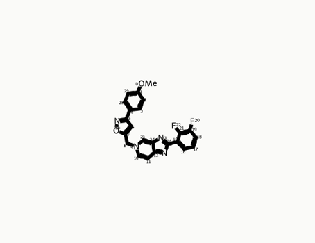 COc1ccc(-c2cc(Cn3ccc4nc(-c5cccc(F)c5F)nc-4c3)on2)cc1